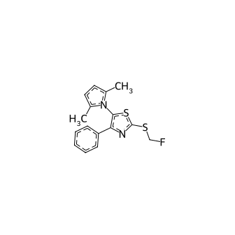 Cc1ccc(C)n1-c1sc(SCF)nc1-c1ccccc1